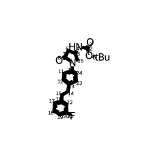 CC(C)(C)OC(=O)NC1CC(=O)N(c2ccc(CCc3cccc(F)c3)cc2)C1